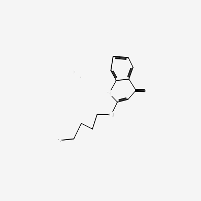 Cl.Cl.NCCCCNc1cc(=O)c2ccccc2[nH]1